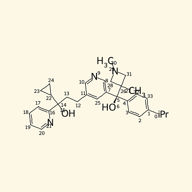 CC(C)c1ccc([C@](O)(c2cncc(CCC(O)(c3ccccn3)C3CC3)c2)C2(C)CN(C)C2)cc1